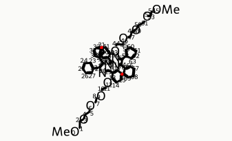 COCCOCCOCCOCCOc1ccccc1-c1nc(-c2ccccc2)c(-c2ccccc2)n1C1(c2ccccc2OCCOCCOCCOCCOC)N=C(c2ccccc2)C(c2ccccc2)=N1